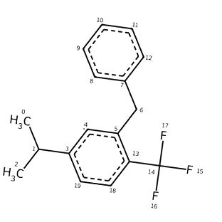 CC(C)c1[c]c(Cc2ccccc2)c(C(F)(F)F)cc1